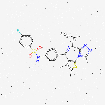 Cc1sc2c(c1C)C(c1ccc(NS(=O)(=O)c3ccc(F)cc3)cc1)=NC([C@H](C)C(=O)O)c1nnc(C)n1-2